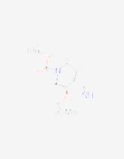 COCO[C@H]1CN(C(=O)OC(C)(C)C)CC[C@@H]1CN